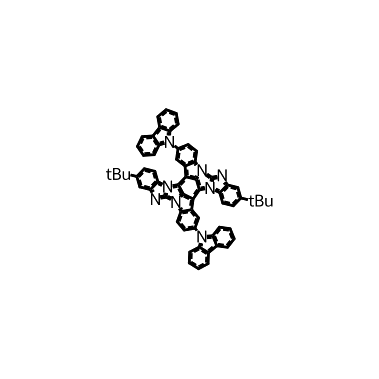 CC(C)(C)c1ccc2c(c1)nc1n2c2c3c4cc(-n5c6ccccc6c6ccccc65)ccc4n4c3c(c3c5cc(-n6c7ccccc7c7ccccc76)ccc5n1c32)n1c2ccc(C(C)(C)C)cc2nc14